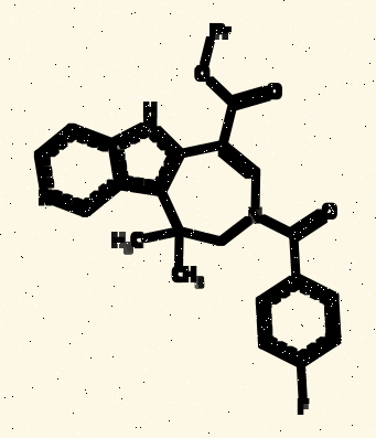 CC(C)OC(=O)C1=CN(C(=O)c2ccc(F)cc2)CC(C)(C)c2c1[nH]c1ccncc21